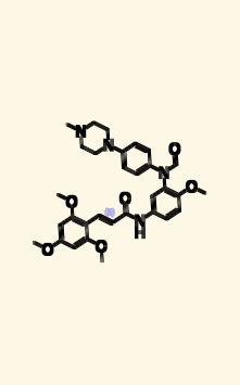 COc1cc(OC)c(/C=C/C(=O)Nc2ccc(OC)c(N(C=O)c3ccc(N4CCN(C)CC4)cc3)c2)c(OC)c1